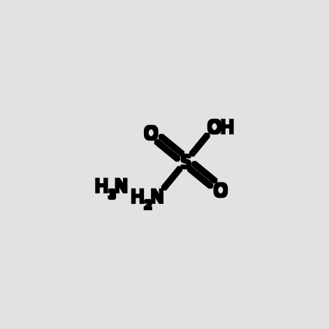 N.NS(=O)(=O)O